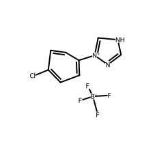 Clc1ccc(-[n+]2c[nH]cn2)cc1.F[B-](F)(F)F